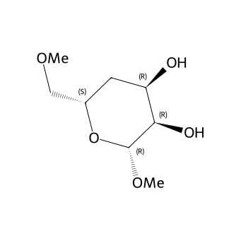 COC[C@@H]1C[C@@H](O)[C@@H](O)[C@H](OC)O1